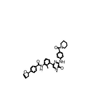 Cc1c(NC(=O)c2ccc(C3CC=CO3)cc2)cccc1-c1cn(C)c(=O)c(Nc2ccc(C(=O)N3CCCCC3)cc2)n1